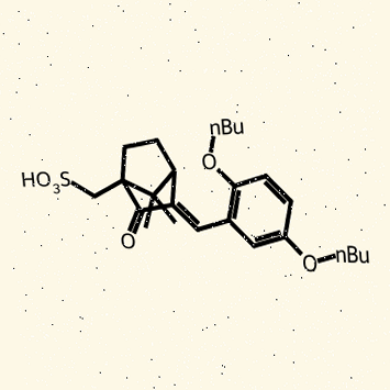 CCCCOc1ccc(OCCCC)c(C=C2C(=O)C3(CS(=O)(=O)O)CCC2C3(C)C)c1